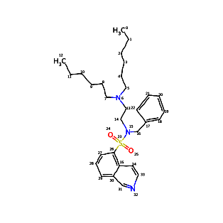 CCCCCCN(CCCCCC)CCN(Cc1ccccc1)S(=O)(=O)c1cccc2cnccc12